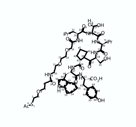 CC(=O)SCCOCCC(=O)NCCOCCOCC(=O)N[C@@H](CC(C)C)C(=O)N[C@H](C(=O)N[C@H](C(=O)N[C@@H](CO)C(=O)C1CCC[C@H]1C(=O)N[C@@H](Cc1c[nH]c2ccccc12)C(=O)N[C@@H](Cc1ccc(O)cc1)C(=O)O)C(C)C)[C@@H](C)O